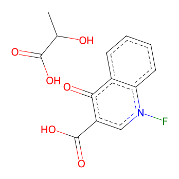 CC(O)C(=O)O.O=C(O)c1cn(F)c2ccccc2c1=O